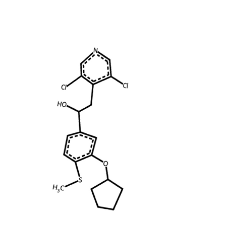 CSc1ccc(C(O)Cc2c(Cl)cncc2Cl)cc1OC1CCCC1